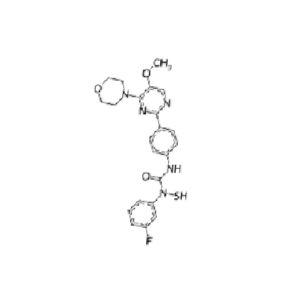 COc1cnc(-c2ccc(NC(=O)N(S)c3cccc(F)c3)cc2)nc1N1CCOCC1